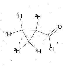 [2H]C1([2H])C([2H])([2H])C1([2H])C(=O)Cl